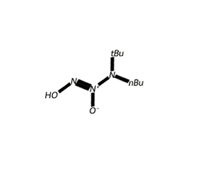 CCCCN([N+]([O-])=NO)C(C)(C)C